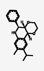 Cc1cc2c(cc1C(C)C)[C@H]1OCCO[C@H]1[C@H](c1ccccc1)N2